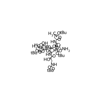 CN(CC(=O)N[C@@H]1CC=C(CN)O[C@@H]1O[C@H]1[C@H](O)[C@@H](O[C@H]2OC[C@](C)(O)[C@H](N(C)C(=O)OC(C)(C)C)[C@H]2O)[C@H](NC(=O)[C@@H](O)CCNC(=O)OC(C)(C)C)C[C@@H]1NC(=O)OC(C)(C)C)C(=O)OC(C)(C)C